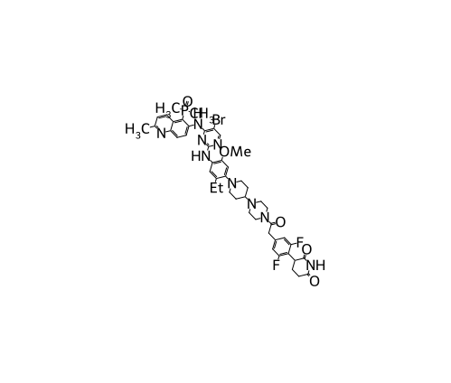 CCc1cc(Nc2ncc(Br)c(Nc3ccc4nc(C)ccc4c3P(C)(C)=O)n2)c(OC)cc1N1CCC(N2CCN(C(=O)Cc3cc(F)c(C4CCC(=O)NC4=O)c(F)c3)CC2)CC1